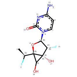 C[C@H](F)[C@]12O[C@@H](n3ccc(N)nc3=O)[C@H](F)[C@@]1(O)C2O